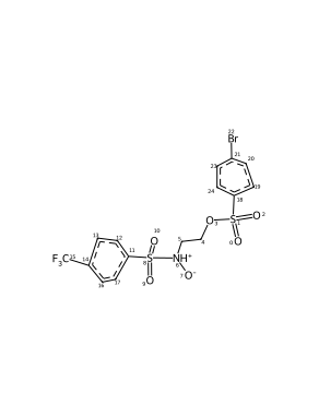 O=S(=O)(OCC[NH+]([O-])S(=O)(=O)c1ccc(C(F)(F)F)cc1)c1ccc(Br)cc1